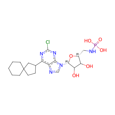 O=P(O)(O)NC[C@H]1O[C@@H](n2cnc3c(C4CCC5(CCCCC5)C4)nc(Cl)nc32)C(O)C1O